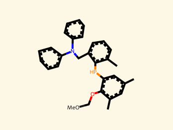 COCOc1c(C)cc(C)cc1Pc1c(C)cccc1CN(c1ccccc1)c1ccccc1